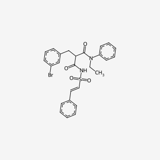 CCN(C(=O)C(Cc1cccc(Br)c1)C(=O)NS(=O)(=O)/C=C/c1ccccc1)c1ccccc1